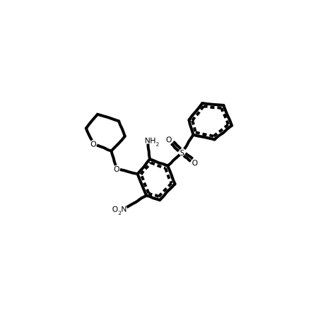 Nc1c(S(=O)(=O)c2ccccc2)ccc([N+](=O)[O-])c1OC1CCCCO1